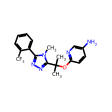 Cn1c(-c2ccccc2C(F)(F)F)nnc1C(C)(C)Oc1ccc(N)cn1